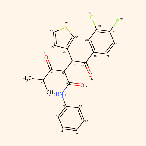 CC(C)C(=O)C(C(=O)Nc1ccccc1)C(C(=O)c1ccc(F)c(F)c1)c1ccsc1